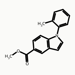 COC(=O)c1ccc2c(ccn2-c2ccccc2C)c1